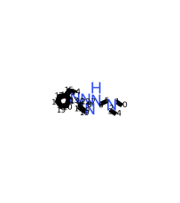 CCN(CC)CCNc1nccc(-n2ccc3ccccc32)n1